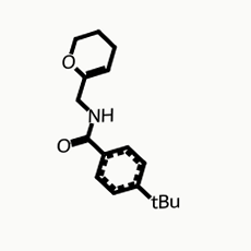 CC(C)(C)c1ccc(C(=O)NCC2=CCCCO2)cc1